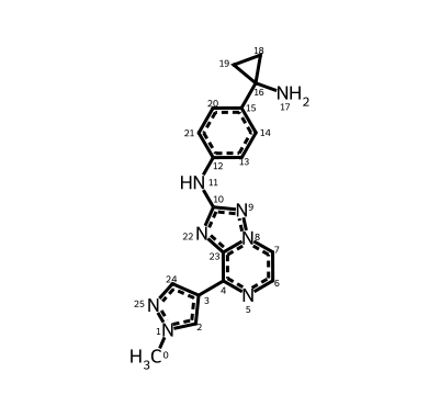 Cn1cc(-c2nccn3nc(Nc4ccc(C5(N)CC5)cc4)nc23)cn1